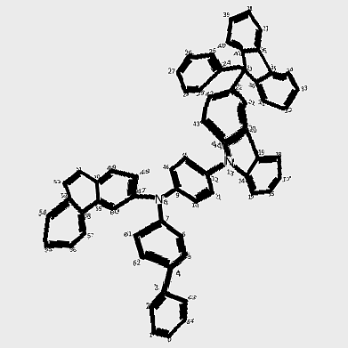 c1ccc(-c2ccc(N(c3ccc(-n4c5ccccc5c5cc(C6(c7ccccc7)c7ccccc7-c7ccccc76)ccc54)cc3)c3ccc4ccc5ccccc5c4c3)cc2)cc1